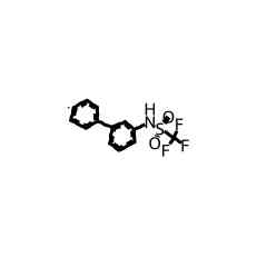 O=S(=O)(Nc1cccc(-c2cc[c]cc2)c1)C(F)(F)F